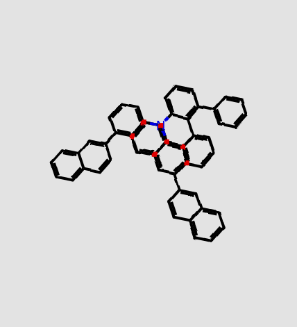 c1ccc(-c2ccccc2-c2c(-c3ccccc3)cccc2N(c2ccc(-c3ccc4ccccc4c3)cc2)c2cccc(-c3ccc4ccccc4c3)c2)cc1